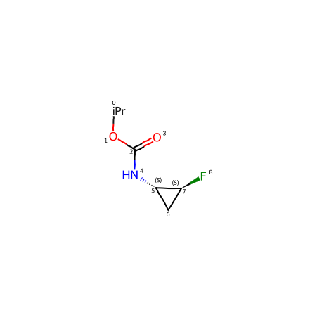 CC(C)OC(=O)N[C@H]1C[C@@H]1F